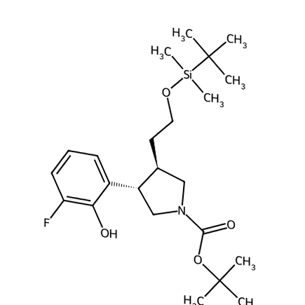 CC(C)(C)OC(=O)N1C[C@H](CCO[Si](C)(C)C(C)(C)C)[C@@H](c2cccc(F)c2O)C1